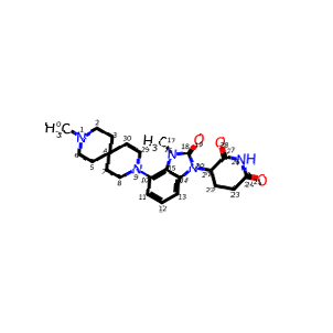 CN1CCC2(CC1)CCN(c1cccc3c1n(C)c(=O)n3C1CCC(=O)NC1=O)CC2